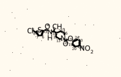 CC(NC(=O)c1ccc(Cl)s1)C1CCN(C(=O)Oc2ccc([N+](=O)[O-])cc2)CC1